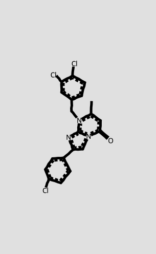 Cc1cc(=O)n2cc(-c3ccc(Cl)cc3)nc2n1Cc1ccc(Cl)c(Cl)c1